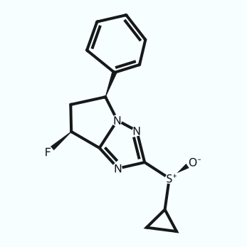 [O-][S@+](c1nc2n(n1)[C@H](c1ccccc1)C[C@@H]2F)C1CC1